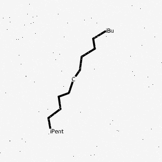 CCCC(C)CCCCCCCCCC(C)CC